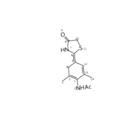 CC(=O)NC1=C(C)CC(=C2NC(=O)CS2)C=C1C